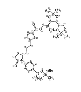 CCCCCC(O[Si](C)(C)C(C)(C)C)c1ccc(N2C(=O)CC[C@@H]2CCCc2ccc(C(=O)OCC(O)[C@H]3OC(C)(C)O[C@@H]3[C@H]3COC(C)(C)O3)s2)cc1